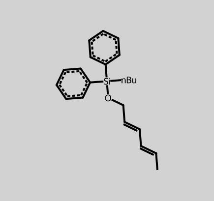 CC=CC=CCO[Si](CCCC)(c1ccccc1)c1ccccc1